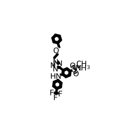 CNS(=O)(=O)c1ccc(Nc2ccc(C(F)(F)F)cc2)c(-c2nnn(CCOCc3ccccc3)n2)c1